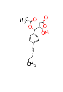 CCCC#Cc1ccc(C(OC(C)=O)C2=CC(=O)OC2O)cc1